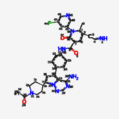 Cc1c(CC=N)cc(C(=O)Nc2ccc(-c3cc(C4CCN(C(=O)C(C)C)CC4)n4ncnc(N)c34)cc2)c(=O)n1-c1cncc(F)c1